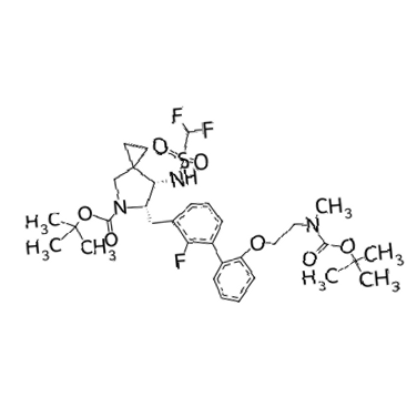 CN(CCOc1ccccc1-c1cccc(C[C@H]2[C@@H](NS(=O)(=O)C(F)F)C3(CC3)CN2C(=O)OC(C)(C)C)c1F)C(=O)OC(C)(C)C